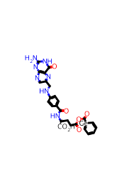 Nc1nc2ncc(CNc3ccc(C(=O)N[C@@H](CCC(=O)O[C](=O)[Ge]4=[CH]C=CC=[CH]4)C(=O)O)cc3)nc2c(=O)[nH]1